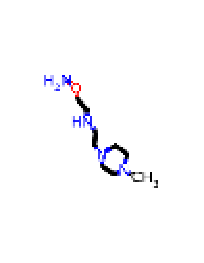 CN1CCN(CCNCCON)CC1